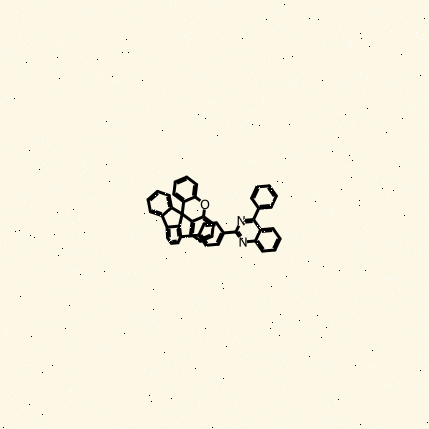 c1ccc(-c2nc(-c3ccc(-c4cccc5c4C4(c6ccccc6Oc6ccccc64)c4ccccc4-5)cc3)nc3ccccc23)cc1